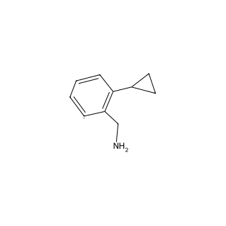 NCc1[c]cccc1C1CC1